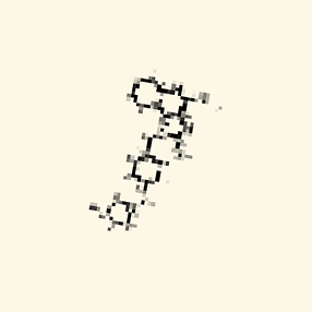 Nc1nc2ccccc2c2c1nc(S)n2Cc1ccc(CN2CC[C@H](F)C2)cc1